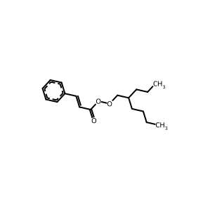 CCCCC(CCC)COOC(=O)C=Cc1ccccc1